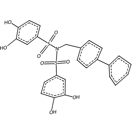 O=S(=O)(c1ccc(O)c(O)c1)N(Cc1ccc(-c2ccccc2)cc1)S(=O)(=O)c1ccc(O)c(O)c1